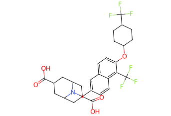 O=C(O)C1CC2CC(C(=O)O)CC(C1)N2Cc1ccc2c(C(F)(F)F)c(OC3CCC(C(F)(F)F)CC3)ccc2c1